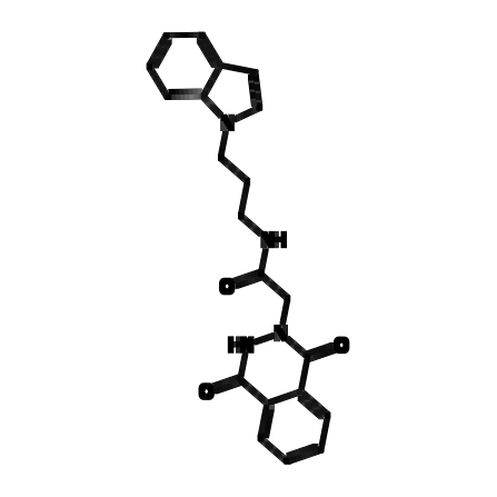 O=C(Cn1[nH]c(=O)c2ccccc2c1=O)NCCCn1ccc2ccccc21